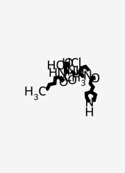 CCCCCC(=O)N[C@@](C)(NC(=O)[C@@H]1CCCN(C(=O)CCC2CCNCC2)C1)C(=O)O.Cl